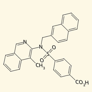 Cc1c(N(Cc2ccc3ccccc3c2)S(=O)(=O)c2ccc(C(=O)O)cc2)ncc2ccccc12